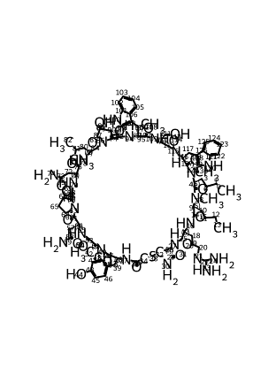 CCCC[C@H]1C(=O)N(C)[C@@H](CCCC)C(=O)N[C@@H](CCCNC(N)N)C(=O)N[C@H](C(N)=O)CSCC(=O)N[C@@H](Cc2ccc(O)cc2)C(=O)N(C)[C@@H](C)C(=O)N[C@@H](CC(N)=O)C(=O)N2CCC[C@H]2C(=O)N[C@@H](CC(N)=O)C(=O)N[C@@H](CC(C)C)C(=O)N2C[C@H](O)C[C@H]2C(=O)N[C@@H]([C@@H](C)c2c[nH]c3ccccc23)C(=O)N[C@@H](CO)C(=O)N[C@@H](Cc2c[nH]c3ccccc23)C(=O)N1C